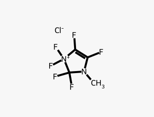 CN1C(F)=C(F)[N+](F)(F)C1(F)F.[Cl-]